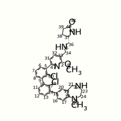 COc1nc(-c2cccc(-c3cccc(-c4ccc5c(c4)CNCCN5C)c3Cl)c2Cl)ccc1CNC[C@@H]1CCC(=O)N1